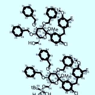 CCOc1ccc(Cc2cc([C@]3(OC)O[C@H](CO)[C@@H](OCc4ccccc4)[C@H](OCc4ccccc4)[C@H]3OCc3ccccc3)ccc2Cl)cc1F.CCOc1ccc(Cc2cc([C@]3(OC)O[C@H](CO[Si](C)(C)C(C)(C)C)[C@@H](OCc4ccccc4)[C@H](OCc4ccccc4)[C@H]3OCc3ccccc3)ccc2Cl)cc1F